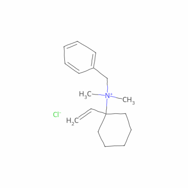 C=CC1([N+](C)(C)Cc2ccccc2)CCCCC1.[Cl-]